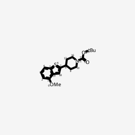 COc1cccc2sc(C3CCN(C(=O)OC(C)(C)C)CC3)cc12